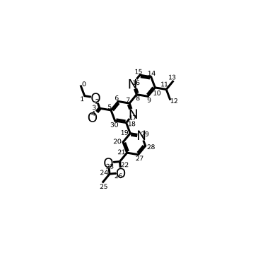 CCOC(=O)c1cc(-c2cc(C(C)C)ccn2)nc(-c2cc(C3OC(C)O3)ccn2)c1